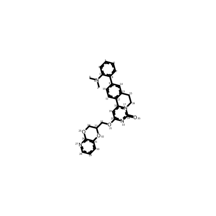 CN(C)c1ccccc1-c1ccc2c(c1)CCn1c-2cc(OCC2COc3ncccc3O2)nc1=O